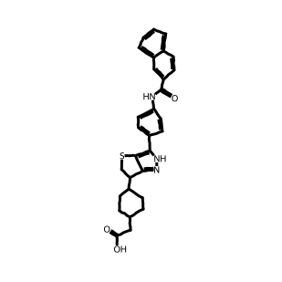 O=C(O)CC1CCC(C2CSc3c2n[nH]c3-c2ccc(NC(=O)c3ccc4ccccc4c3)cc2)CC1